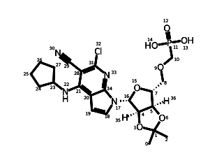 CC1(C)O[C@@H]2[C@H](O1)[C@@H](COCP(=O)(O)O)O[C@H]2n1ccc2c(NC3CCCC3)c(C#N)c(Cl)nc21